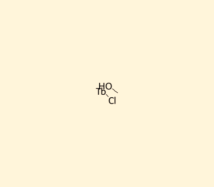 CO.[Cl][Tb]